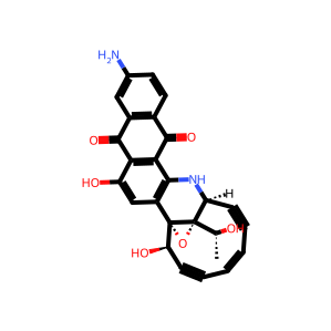 C[C@@H](O)[C@@]12O[C@]13c1cc(O)c4c(c1N[C@H]2C#C/C=C\C#C[C@H]3O)C(=O)c1ccc(N)cc1C4=O